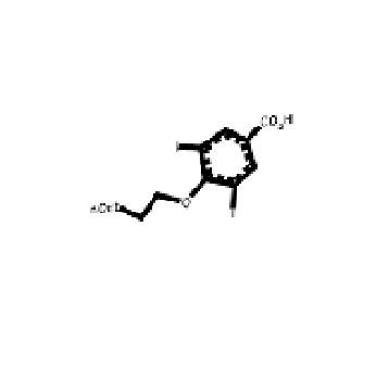 CCCCCCCCCCOc1c(I)cc(C(=O)O)cc1I